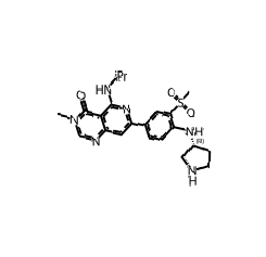 CC(C)Nc1nc(-c2ccc(N[C@@H]3CCNC3)c(S(C)(=O)=O)c2)cc2ncn(C)c(=O)c12